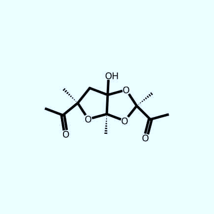 CC(=O)[C@]1(C)OC2(O)C[C@](C)(C(C)=O)O[C@]2(C)O1